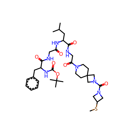 CSC1CN(C(=O)N2CC3(CCN(C(=O)CNC(=O)C(CC(C)C)NC(=O)CNC(=O)C(Cc4ccccc4)NC(=O)OC(C)(C)C)CC3)C2)C1